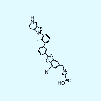 Cc1c(-c2nc3cc(CN4CC(C(=O)O)C4)cc(C#N)c3o2)cccc1-c1cccc(-c2nc3c(s2)CNCC3)c1C